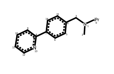 CC(C)N(C)Cc1ccc(-c2ccccn2)cc1